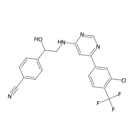 N#Cc1ccc(C(O)CNc2cc(-c3ccc(C(F)(F)F)c(Cl)c3)ncn2)cc1